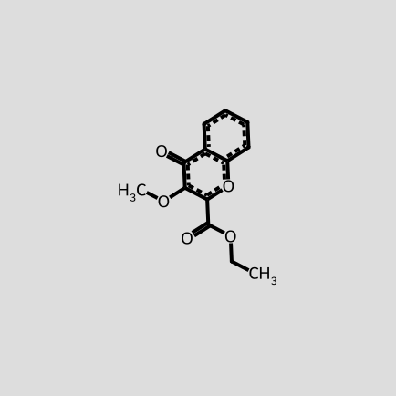 CCOC(=O)c1oc2ccccc2c(=O)c1OC